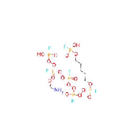 NC=O.O=P(O)(F)OCCCCCOP(=O)(F)OOP(=O)(F)OOP(=O)(F)OOP(=O)(F)OOP(=O)(O)F